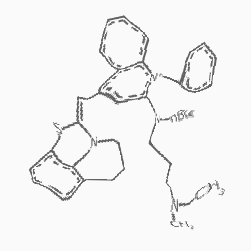 CCCCN(CCCN(C)C)c1cc(/C=C2/Sc3cccc4c3N2CCC4)c2ccccc2[n+]1-c1ccccc1